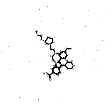 CCc1ccc2c(c1)N(CCN1CCC[C@@H](CCOC)C1)CCn1c-2c(C2CCCCC2)c2ccc(C(=O)O)cc21